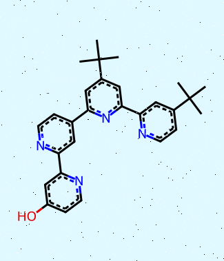 CC(C)(C)c1ccnc(-c2cc(C(C)(C)C)cc(-c3ccnc(-c4cc(O)ccn4)c3)n2)c1